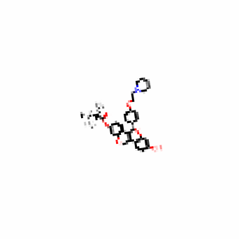 CC(C)(C)C(=O)Oc1ccc2c(c1)OCC1=C2[C@H](C2C=CC(OCCN3CCCCC3)=CC2)Oc2cc(O)ccc21